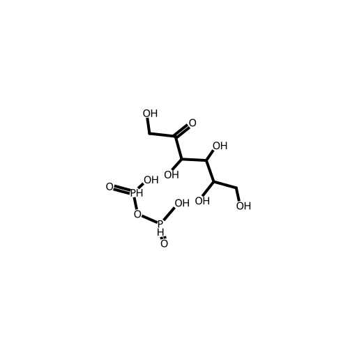 O=C(CO)C(O)C(O)C(O)CO.O=[PH](O)O[PH](=O)O